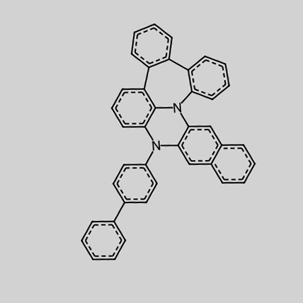 c1ccc(-c2ccc(N3c4cc5ccccc5cc4N4c5ccccc5-c5ccccc5-c5cccc3c54)cc2)cc1